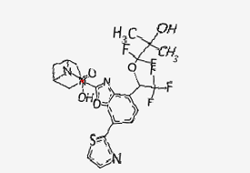 CC(C)(O)C(F)(F)OC(c1ccc(-c2nccs2)c2oc(N3CC4CC(C3)N4C(=O)O)nc12)C(F)(F)F